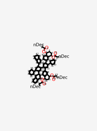 CCCCCCCCCCCC(=O)OC1CCC(OC(=O)CCCCCCCCCCC)c2cc(-c3cc(-c4cc(-c5ccc6ccccc6c5)c(-c5ccccc5)cc4-c4ccc5ccccc5c4)c(-c4ccc5c(c4)C(OC(=O)CCCCCCCCCCC)CCC5OC(=O)CCCCCCCCCCC)cc3-c3ccccc3)ccc21